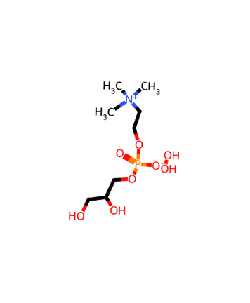 C[N+](C)(C)CCOP(=O)([O-])OCC(O)CO.OO